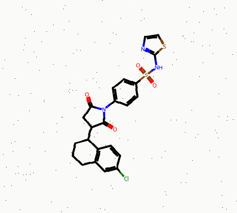 O=C1CC(C2CCCc3cc(Cl)ccc32)C(=O)N1c1ccc(S(=O)(=O)Nc2nccs2)cc1